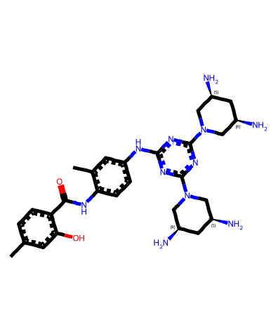 Cc1ccc(C(=O)Nc2ccc(Nc3nc(N4C[C@H](N)C[C@H](N)C4)nc(N4C[C@H](N)C[C@H](N)C4)n3)cc2C)c(O)c1